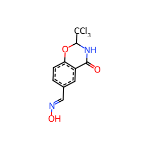 O=C1NC(C(Cl)(Cl)Cl)Oc2ccc(C=NO)cc21